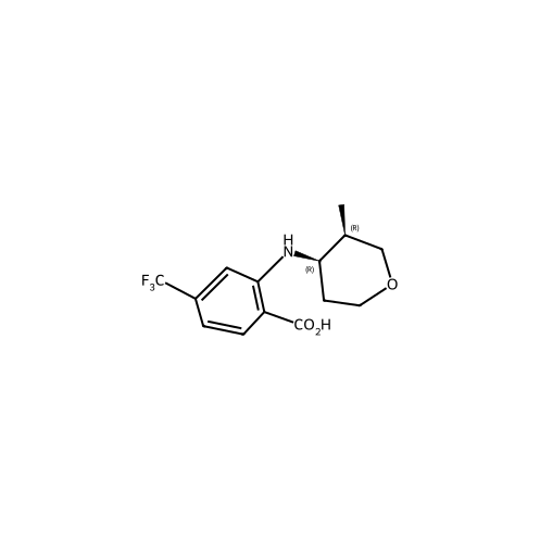 C[C@H]1COCC[C@H]1Nc1cc(C(F)(F)F)ccc1C(=O)O